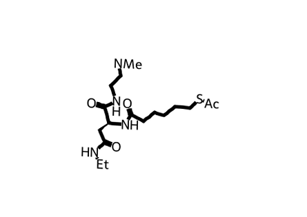 CCNC(=O)C[C@H](NC(=O)CCCCCSC(C)=O)C(=O)NCCNC